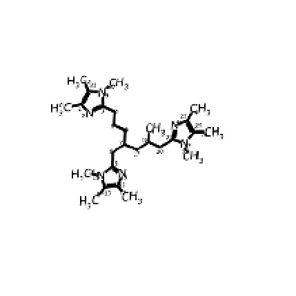 Cc1nc(CCCC(Cc2nc(C)c(C)n2C)CC(C)Cc2nc(C)c(C)n2C)n(C)c1C